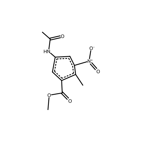 COC(=O)c1cc(NC(C)=O)cc([N+](=O)[O-])c1C